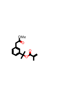 C=C(C)C(=O)OC(C)(C)c1cccc(CC(=O)OC)c1